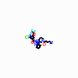 Cc1cccc2nc(NC(=O)c3cc(Cl)nc(OC(F)(F)F)c3)n(C3CCCCN(C(=O)C=CCN(C)C)C3)c12